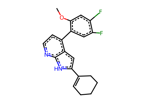 COc1cc(F)c(F)cc1-c1ccnc2[nH]c(C3=CCCCC3)cc12